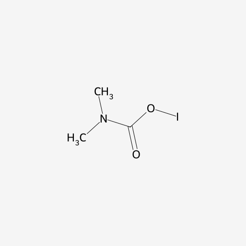 CN(C)C(=O)OI